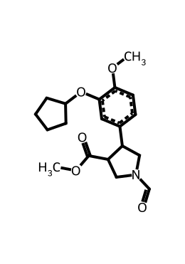 COC(=O)C1CN(C=O)CC1c1ccc(OC)c(OC2CCCC2)c1